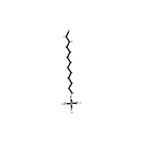 CCC[CH]CCCCCCCCC.F[B-](F)(F)F